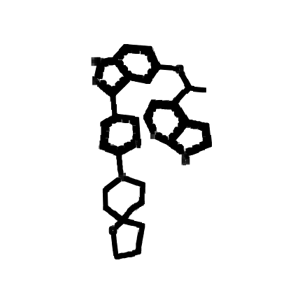 CC(Oc1ccc2[nH]nc(-c3ccc(N4CCC5(CCCO5)CC4)nc3)c2c1)c1ccnc2[nH]ccc12